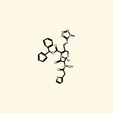 Cn1nnnc1SCC1=C(C(=O)OC(c2ccccc2)c2ccccc2)N2C(=O)C(N(O)C(=O)Cc3cccs3)[C@@H]2SC1